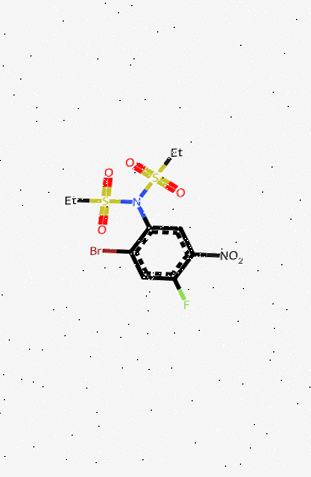 CCS(=O)(=O)N(c1cc([N+](=O)[O-])c(F)cc1Br)S(=O)(=O)CC